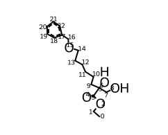 CCOC(=O)C(O)(CO)CCCCCCOCc1ccccc1